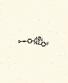 Fc1ccc(CO/N=C(\Cn2ccnc2)c2ccc(C#CC3CC3)cc2)cc1